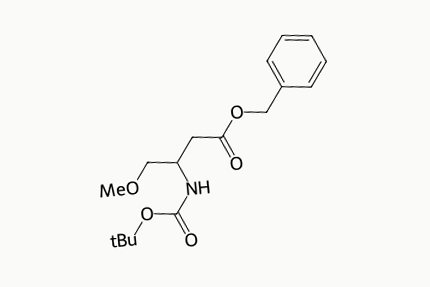 COCC(CC(=O)OCc1ccccc1)NC(=O)OC(C)(C)C